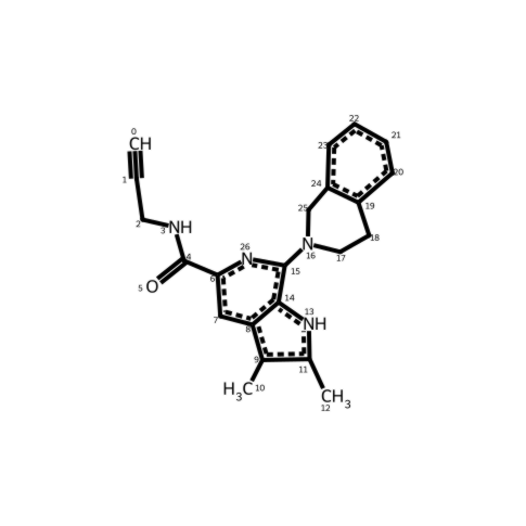 C#CCNC(=O)c1cc2c(C)c(C)[nH]c2c(N2CCc3ccccc3C2)n1